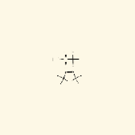 CC1(C)C=CC(C)(C)O1.O=S(=O)(O)C(F)(F)F